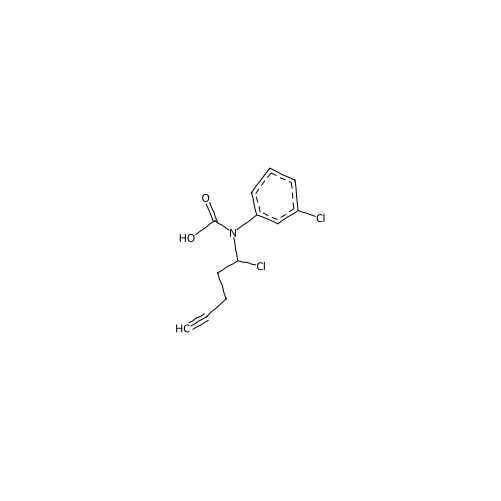 C#CCCC(Cl)N(C(=O)O)c1cccc(Cl)c1